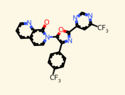 O=c1c2ncccc2ccn1-c1oc(-c2cc(C(F)(F)F)ncn2)nc1-c1ccc(C(F)(F)F)cc1